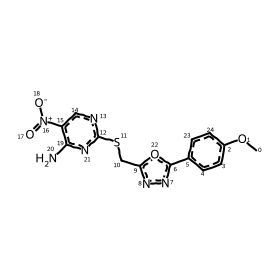 COc1ccc(-c2nnc(CSc3ncc([N+](=O)[O-])c(N)n3)o2)cc1